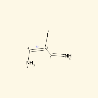 N=C/C(I)=C\N